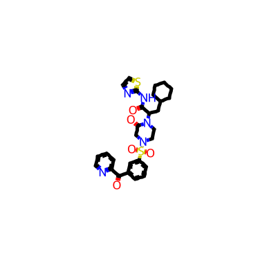 O=C(c1cccc(S(=O)(=O)N2CCN(C(CC3CCCCC3)C(=O)Nc3nccs3)C(=O)C2)c1)c1ccccn1